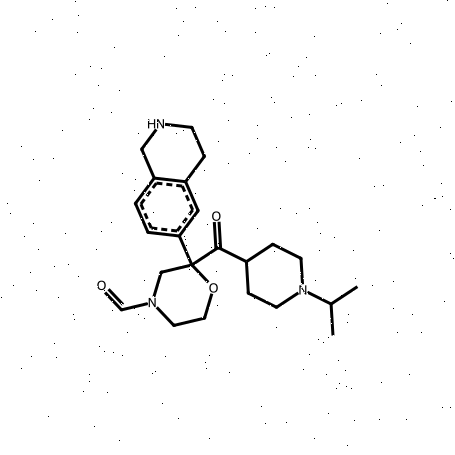 CC(C)N1CCC(C(=O)C2(c3ccc4c(c3)CCNC4)CN(C=O)CCO2)CC1